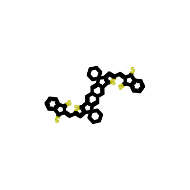 S=C1C(=Cc2cc3c(s2)C2=CC4C=C5C(=CC4C=C2C32CCCCC2)c2sc(C=C3C(=S)c4ccccc4C3=S)cc2C52CCCCC2)C(=S)c2ccccc21